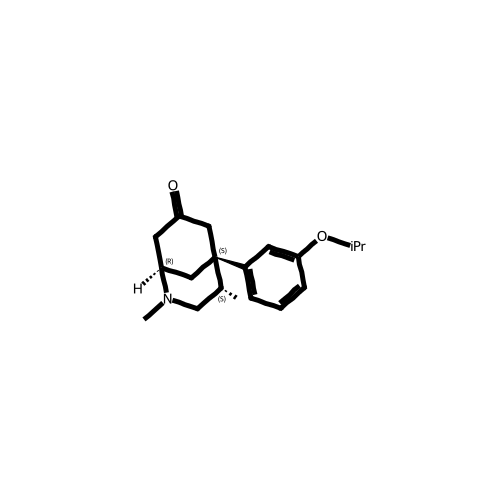 CC(C)Oc1cccc([C@]23CC(=O)C[C@@H](C2)N(C)C[C@H]3C)c1